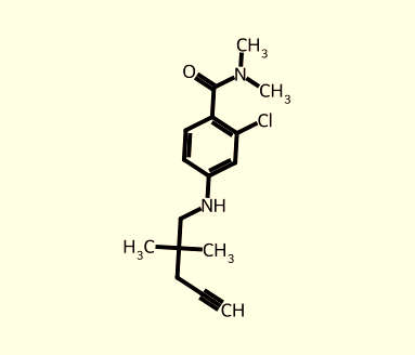 C#CCC(C)(C)CNc1ccc(C(=O)N(C)C)c(Cl)c1